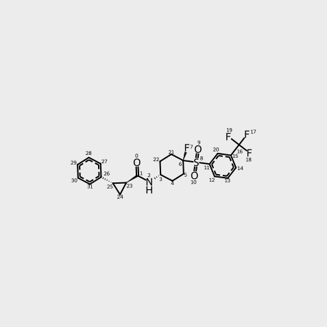 O=C(N[C@H]1CC[C@@](F)(S(=O)(=O)c2cccc(C(F)(F)F)c2)CC1)[C@H]1C[C@@H]1c1ccccc1